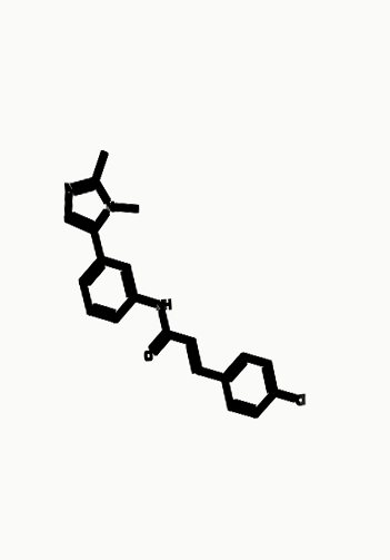 Cc1ncc(-c2cccc(NC(=O)C=Cc3ccc(Cl)cc3)c2)n1C